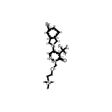 C[Si](C)(C)CCOCn1ncc(N2Cc3ccc(Br)cc3C2)c(C(F)(F)F)c1=O